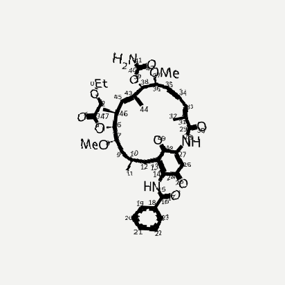 CCOCC(=O)O[C@H]1[C@@H](OC)C[C@H](C)CC2=C(NC(=O)c3ccccc3)C(=O)C=C(NC(=O)/C(C)=C/C=C\[C@H](OC)[C@@H](OC(N)=O)/C(C)=C/[C@@H]1C)C2=O